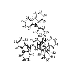 OC1(c2ccccc2-n2c3ccc(-n4c5ccccc5c5ccccc54)cc3c3cc(-n4c5ccccc5c5ccccc54)ccc32)C2CC3CC(C2)CC1C3